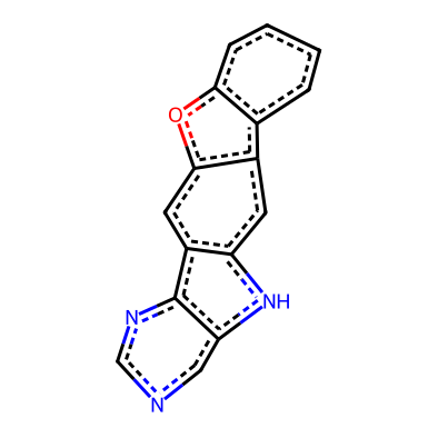 c1ccc2c(c1)oc1cc3c(cc12)[nH]c1cncnc13